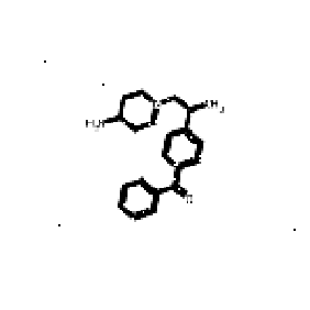 CC(CN1CCC(N)CC1)c1ccc(C(=O)c2ccccc2)cc1